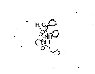 CN1C(=O)C(NC(=O)C2(NC(=O)CCC3CCCC3)CCCC2)c2ccccc2-c2ccccc21